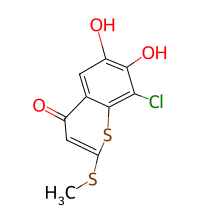 CSc1cc(=O)c2cc(O)c(O)c(Cl)c2s1